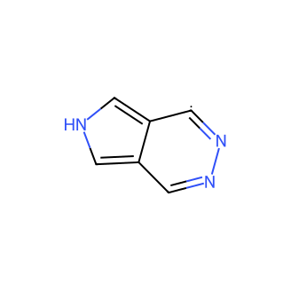 [c]1nncc2c[nH]cc12